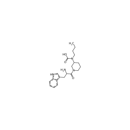 CCCCN(C(=O)O)C1CCCN(C(=O)C(N)Cc2c[nH]c3ccccc23)C1